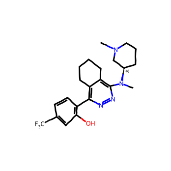 CN1CCC[C@@H](N(C)c2nnc(-c3ccc(C(F)(F)F)cc3O)c3c2CCCC3)C1